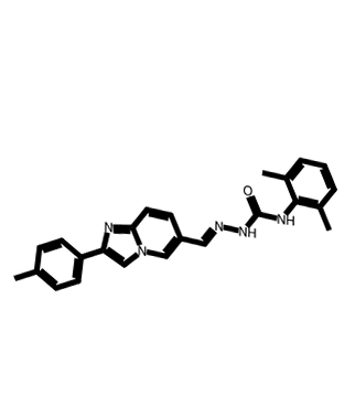 Cc1ccc(-c2cn3cc(/C=N/NC(=O)Nc4c(C)cccc4C)ccc3n2)cc1